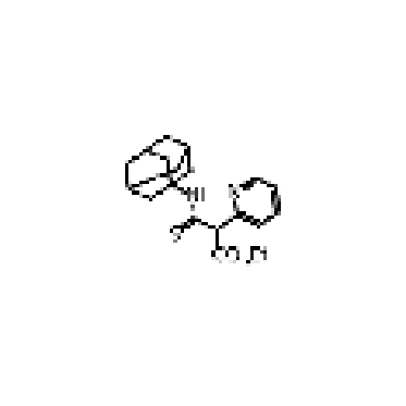 CCOC(=O)C(C(=S)NC12CC3CC(CC(C3)C1)C2)c1ccccn1